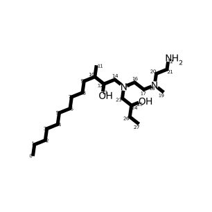 CCCCCCCCCCC(C)C(O)CN(CCN(C)CCN)CC(O)CC